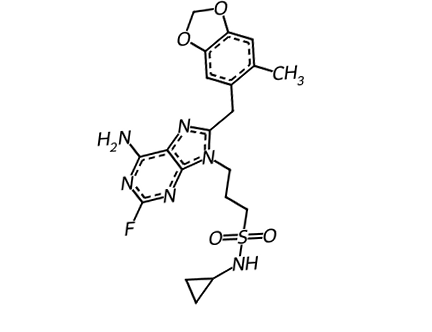 Cc1cc2c(cc1Cc1nc3c(N)nc(F)nc3n1CCCS(=O)(=O)NC1CC1)OCO2